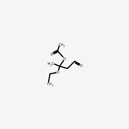 CCOC(C)(CC=O)OC(C)=O